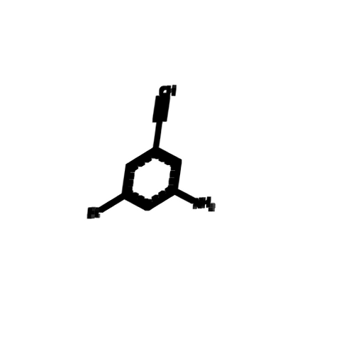 C#Cc1cc(N)cc(CC)c1